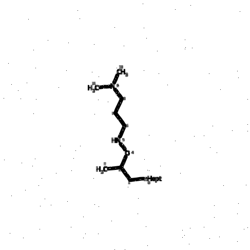 CCCCCCCCC(C)ONCCCN(C)C